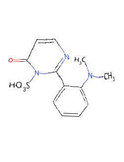 CN(C)c1ccccc1-c1nccc(=O)n1S(=O)(=O)O